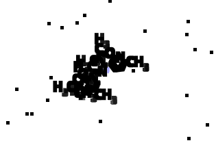 C=C(C)CN(C(=C)/N=C\N(C)C(C)Oc1cccc(C)n1)C(=O)OC(C)(C)C